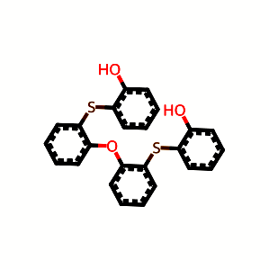 Oc1ccccc1Sc1ccccc1Oc1ccccc1Sc1ccccc1O